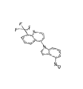 O=Nc1cccc2c1ccn2-c1ccnc2c(C(F)(F)F)cccc12